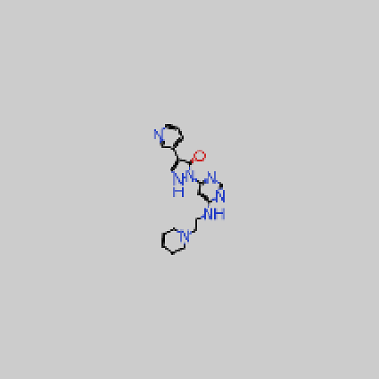 O=c1c(-c2cccnc2)c[nH]n1-c1cc(NCCN2CCCCC2)ncn1